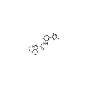 Cc1nsc(-c2ccc(C)c(NCC(=O)c3cn4c5c(cccc35)CCC4)c2)n1